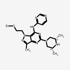 CCOCCn1nc(C)c2nc(N3C[C@@H](C)N[C@@H](C)C3)nc(Nc3ccncn3)c21